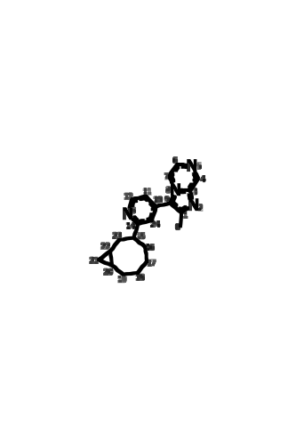 Cc1nc2cnccn2c1-c1ccnc(C2CCCCC3CC3C2)c1